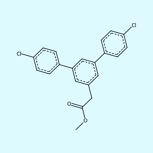 COC(=O)Cc1cc(-c2ccc(Cl)cc2)cc(-c2ccc(Cl)cc2)c1